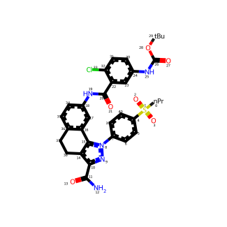 CCCS(=O)(=O)c1ccc(-n2nc(C(N)=O)c3c2-c2cc(NC(=O)c4cc(NC(=O)OC(C)(C)C)ccc4Cl)ccc2CC3)cc1